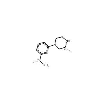 C[C@@H]1CN(c2cccc([C@@H](C)N)n2)CCN1